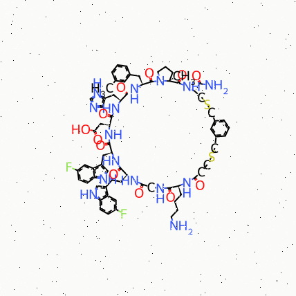 Cc1cccc(C[C@@H]2NC(=O)[C@H](Cc3cnc[nH]3)NC(=O)[C@H](CC(=O)O)NC(=O)[C@H](Cc3c[nH]c4ccc(F)cc34)NC(=O)[C@H](CCc3c[nH]c4ccc(F)cc34)NC(=O)CNC(=O)[C@H](CCCCN)NC(=O)CCSCc3cccc(c3)CSC[C@@H](C(N)=O)NC(=O)[C@]3(C)CCCN3C2=O)c1